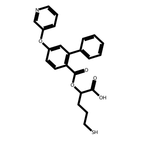 O=C(OC(CCCS)C(=O)O)c1ccc(Oc2cccnc2)cc1-c1ccccc1